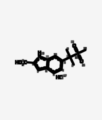 CC(C)(c1ccc2cc(C(=O)O)[nH]c2c1)S(C)(=O)=O.Cl